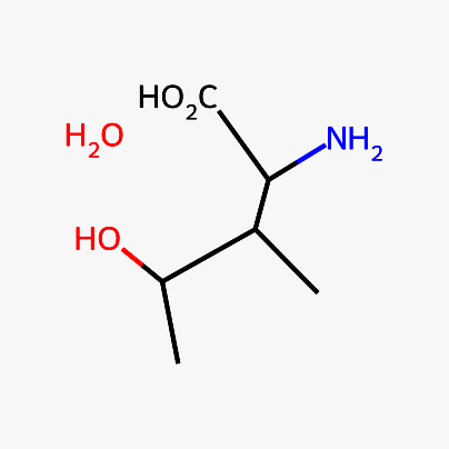 CC(O)C(C)C(N)C(=O)O.O